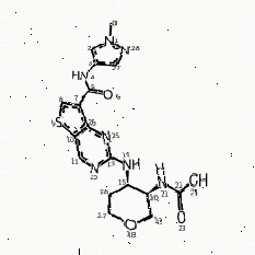 Cn1cc(NC(=O)c2csc3cnc(N[C@@H]4CCOC[C@@H]4NC(=O)O)nc23)cn1